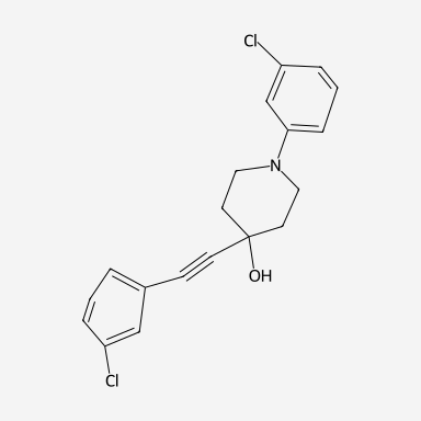 OC1(C#Cc2cccc(Cl)c2)CCN(c2cccc(Cl)c2)CC1